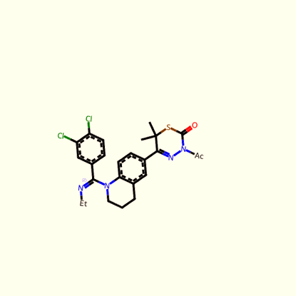 CC/N=C(/c1ccc(Cl)c(Cl)c1)N1CCCc2cc(C3=NN(C(C)=O)C(=O)SC3(C)C)ccc21